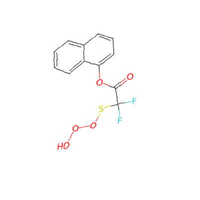 O=C(Oc1cccc2ccccc12)C(F)(F)SOOO